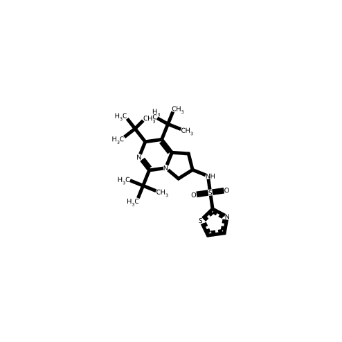 CC(C)(C)C1=NC(C(C)(C)C)C(C(C)(C)C)=C2CC(NS(=O)(=O)c3nccs3)CN12